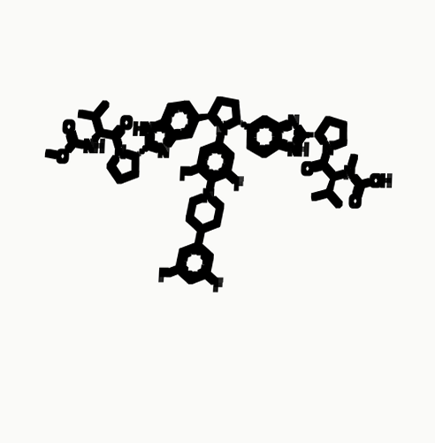 COC(=O)N[C@H](C(=O)N1CCC[C@H]1c1nc2cc([C@H]3CC[C@H](c4ccc5[nH]c([C@@H]6CCCN6C(=O)[C@H](C(C)C)N(C)C(=O)O)nc5c4)N3c3cc(F)c(N4CCC(c5cc(F)cc(F)c5)CC4)c(F)c3)ccc2[nH]1)C(C)C